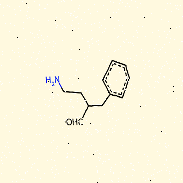 NCCC([C]=O)Cc1ccccc1